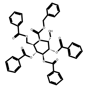 O=C(OC[C@@H]1[C@@H](OC(=O)c2ccccc2)[C@H](OC(=O)c2ccccc2)[C@@H](OC(=O)c2ccccc2)[C@@H](CO)N1C(=O)OCc1ccccc1)c1ccccc1